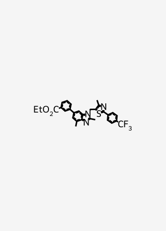 CCOC(=O)c1cccc(-c2cc(C)c3nc(C)n(Cc4sc(-c5ccc(C(F)(F)F)cc5)nc4C)c3c2)c1